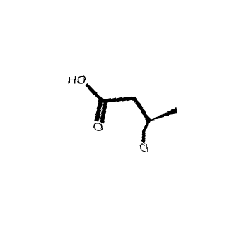 C[C@@H](Cl)CC(=O)O